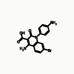 Nc1ccc(-n2c(=O)c(C(=O)O)c(N)c3ccc(Br)cc32)cc1